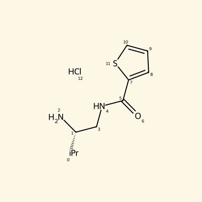 CC(C)[C@H](N)CNC(=O)c1cccs1.Cl